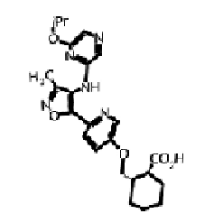 Cc1noc(-c2ccc(OC[C@H]3CCCC[C@@H]3C(=O)O)cn2)c1Nc1cncc(OC(C)C)n1